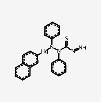 N=NC(=S)N(c1ccccc1)[N]([Hg][c]1ccc2ccccc2c1)c1ccccc1